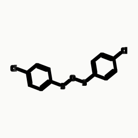 Clc1ccc(SOSc2ccc(Cl)cc2)cc1